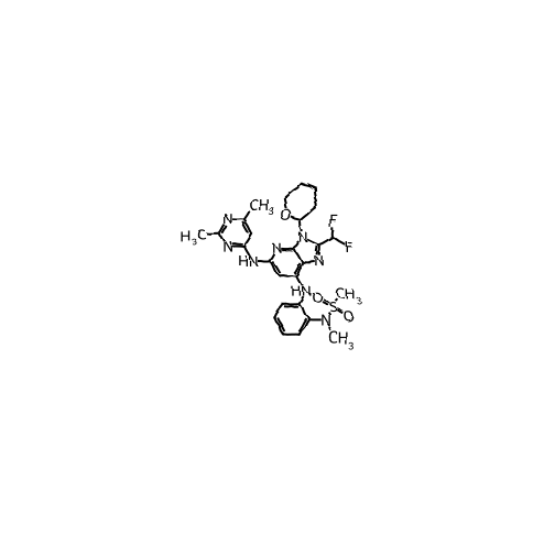 Cc1cc(Nc2cc(Nc3ccccc3N(C)S(C)(=O)=O)c3nc(C(F)F)n(C4CCCCO4)c3n2)nc(C)n1